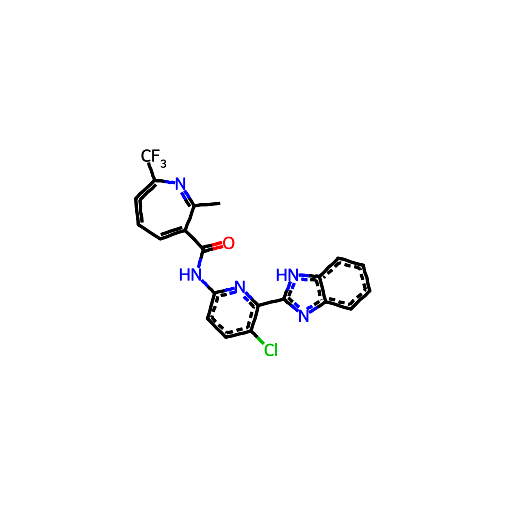 CC1=NC(C(F)(F)F)=C=CC=C1C(=O)Nc1ccc(Cl)c(-c2nc3ccccc3[nH]2)n1